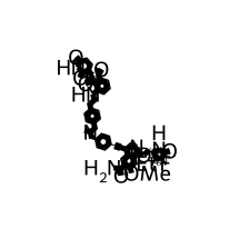 CC[C@@H]1[C@H](F)C(=O)N[C@@H]1COc1ncc(C#C[C@H]2CC[C@H](CN(C)Cc3ccc(CCNc4cccc5c4C(=O)N(C4CCC(=O)NC4=O)C5=O)cc3)CC2)c2cc(C(N)=O)c(OC)cc12